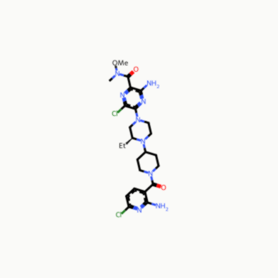 CC[C@H]1CN(c2nc(N)c(C(=O)N(C)OC)nc2Cl)CCN1C1CCN(C(=O)c2ccc(Cl)nc2N)CC1